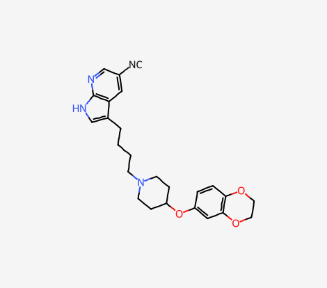 [C-]#[N+]c1cnc2[nH]cc(CCCCN3CCC(Oc4ccc5c(c4)OCCO5)CC3)c2c1